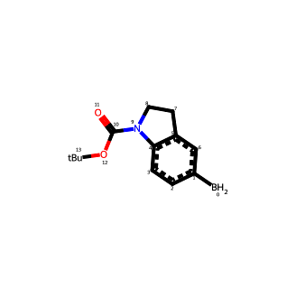 Bc1ccc2c(c1)CCN2C(=O)OC(C)(C)C